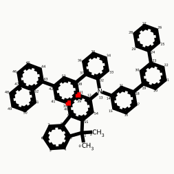 CC1(C)c2ccccc2-c2ccc(N(c3cccc(-c4cccc(-c5ccccc5)c4)c3)c3ccccc3-c3cccc(-c4cccc5ccccc45)c3)cc21